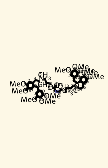 COc1cc(CCN(C)CCCOC(=O)/C=C\C(=O)OCCC[N+]2(C)CCc3cc(OC)c(OC)cc3C2Cc2cc(OC)c(OC)c(OC)c2)c(C(C)c2cc(OC)c(OC)c(OC)c2)cc1OC